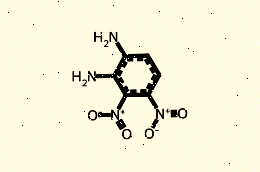 Nc1ccc([N+](=O)[O-])c([N+](=O)[O-])c1N